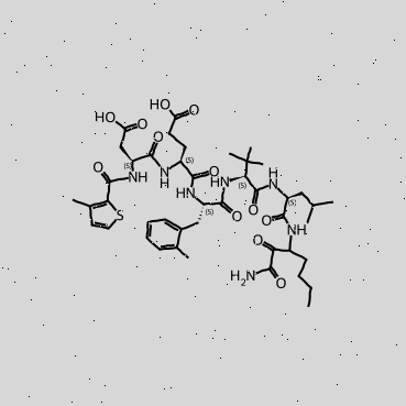 CCCCC(NC(=O)[C@H](CC(C)C)NC(=O)[C@@H](NC(=O)[C@H](Cc1ccccc1C)NC(=O)[C@H](CCC(=O)O)NC(=O)[C@H](CC(=O)O)NC(=O)c1sccc1C)C(C)(C)C)C(=O)C(N)=O